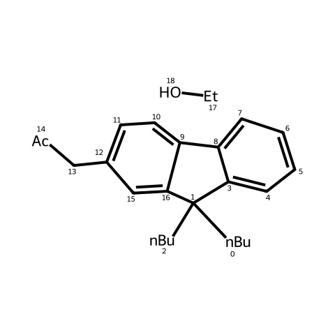 CCCCC1(CCCC)c2ccccc2-c2ccc(CC(C)=O)cc21.CCO